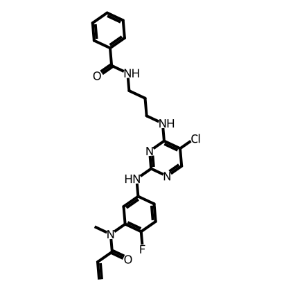 C=CC(=O)N(C)c1cc(Nc2ncc(Cl)c(NCCCNC(=O)c3ccccc3)n2)ccc1F